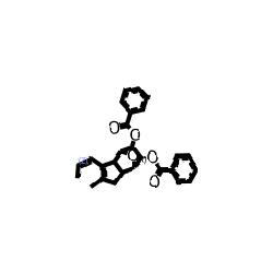 C/C=C\C1=C(C)CC2C1C1OC2[C@@H](OC(=O)c2ccccc2)C1OC(=O)c1ccccc1